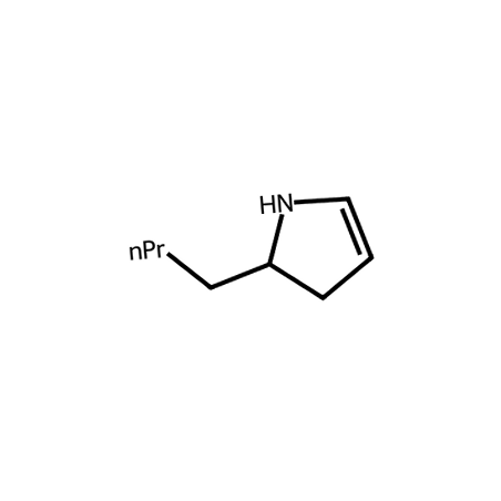 CCCCC1CC=CN1